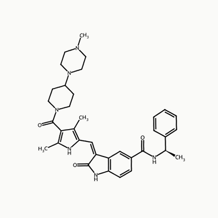 Cc1[nH]c(/C=C2\C(=O)Nc3ccc(C(=O)N[C@H](C)c4ccccc4)cc32)c(C)c1C(=O)N1CCC(N2CCN(C)CC2)CC1